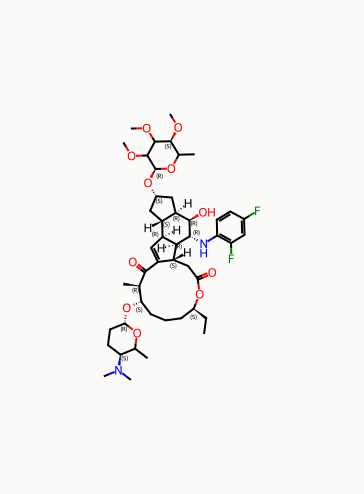 CC[C@H]1CCC[C@H](O[C@H]2CC[C@H](N(C)C)C(C)O2)[C@@H](C)C(=O)C2=C[C@H]3[C@@H]4C[C@H](O[C@@H]5OC(C)[C@H](OC)C(OC)C5OC)C[C@H]4[C@@H](O)[C@H](Nc4ccc(F)cc4F)[C@H]3[C@@H]2CC(=O)O1